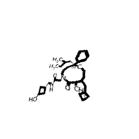 CCC(C)C[C@]1(c2ccccc2)CCCC(CC2CCC2)C(C)C(=O)N(CC(=O)NC[C@H]2C[C@@H](O)C2)CCC1